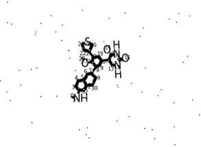 CNc1ccc2cc(-c3cc(-c4c[nH]c(=O)[nH]c4=O)cc(-c4ccsc4)c3OC)ccc2c1